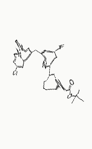 CC(C)(C)OC(=O)N1CCCC(c2cc(F)cc(-c3cnn4ccc(Cl)cc34)n2)C1